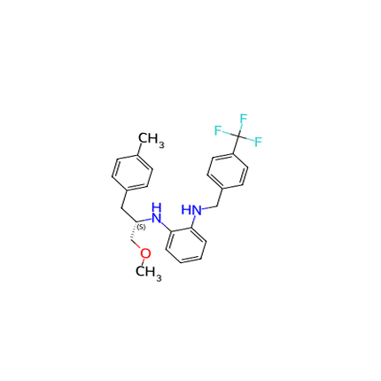 COC[C@H](Cc1ccc(C)cc1)Nc1ccccc1NCc1ccc(C(F)(F)F)cc1